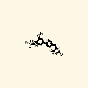 CCNc1nc2cc(-c3ccc(CC4SC(=O)NC4=O)cn3)cc(OC(C)C)c2[nH]1